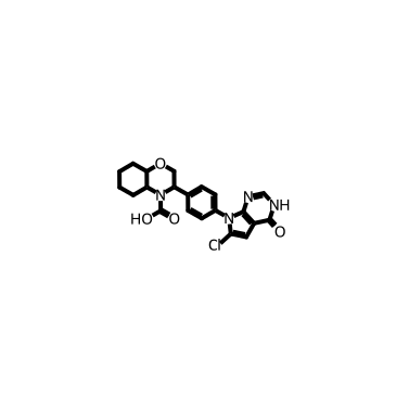 O=C(O)N1C(c2ccc(-n3c(Cl)cc4c(=O)[nH]cnc43)cc2)COC2CCCCC21